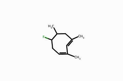 CC1=C/CC(F)C(C)C\C(C)=C\1